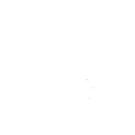 CCOC(=O)c1ccc(C=Cc2ccc(C=Cc3ccc(OC)c(OC)c3OC)cc2)cc1